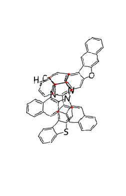 CC1=C/C=C(c2ccccc2)/N=C(c2ccc3sc4ccccc4c3c2)\N=C\1c1cc2c(cc1-n1c3cc4ccccc4cc3c3cc4ccccc4cc31)oc1cc3ccccc3cc12